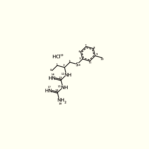 CCC(CSc1cccc(C)c1)NC(=N)NC(=N)N.Cl